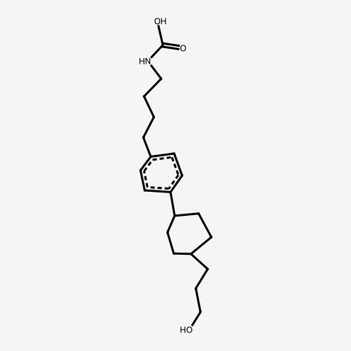 O=C(O)NCCCCc1ccc(C2CCC(CCCO)CC2)cc1